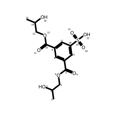 CC(O)COC(=O)c1cc(C(=O)OCC(C)O)cc(S(=O)(=O)O)c1